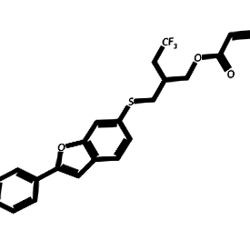 C=CC(=O)OCC(CSc1ccc2cc(-c3ccccc3)oc2c1)CC(F)(F)F